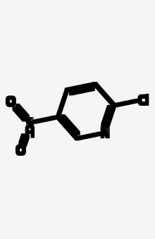 O=[SH](=O)c1ccc(Cl)nc1